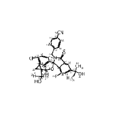 [2H]C([2H])(O)C1(C([2H])([2H])O[C@]2(c3ccc(Cl)cc3)c3c(F)cc(C(C)(C)O)cc3C(=O)N2Cc2ccc(C#N)cn2)CC1